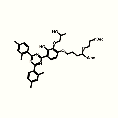 CCCCCCCCCCCCOC(CCCCCCCCC)CCCOc1ccc(-c2nc(-c3ccc(C)cc3C)nc(-c3ccc(C)cc3C)n2)c(O)c1OCC(C)O